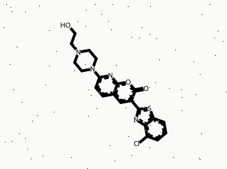 O=c1oc2nc(N3CCN(CCO)CC3)ccc2cc1-c1nc2c(Cl)cccc2s1